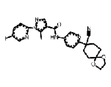 Cc1c(C(=O)Nc2ccc(C3(C#N)CCC4(CC3)OCCO4)nc2)cnn1-c1ccc(I)cn1